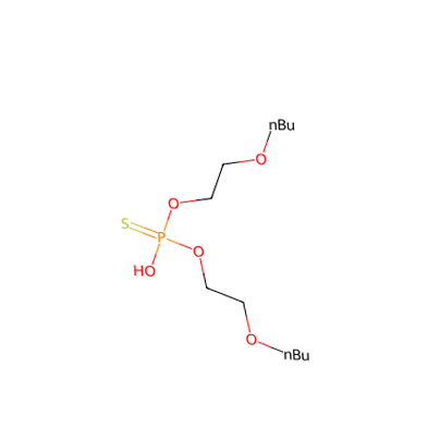 CCCCOCCOP(O)(=S)OCCOCCCC